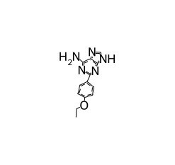 CCOc1ccc(-c2nc(N)c3nc[nH]c3n2)cc1